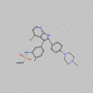 C=CS(=O)(=O)Nc1cc(-c2c(-c3ccc(N4CCN(C)CC4)cc3)[nH]c3nccc(Cl)c23)ccc1C